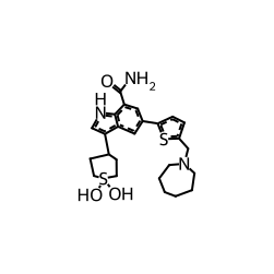 NC(=O)c1cc(-c2ccc(CN3CCCCCC3)s2)cc2c(C3CCS(O)(O)CC3)c[nH]c12